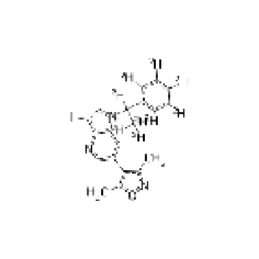 [2H]c1c([2H])c([2H])c(C([2H])(n2cc(I)c3ncc(-c4c(C)noc4C)cc32)C([2H])([2H])[2H])c([2H])c1[2H]